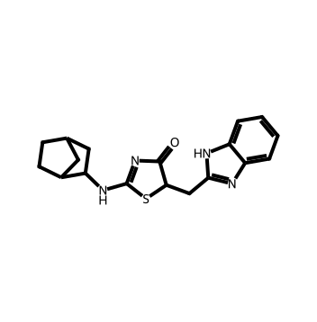 O=C1N=C(NC2CC3CCC2C3)SC1Cc1nc2ccccc2[nH]1